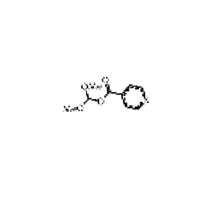 COC(OC)OC(=O)c1ccncc1